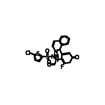 O=CN(NS(=O)(=O)c1ccc(Cl)s1)C1=C(F)CC(=O)C=C1C1NC=Cc2ccccc21